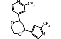 FC(F)(F)c1cc(C2CC(c3ccnc(C(F)(F)F)c3)OCCO2)ccn1